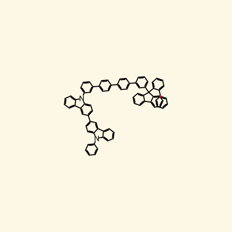 c1ccc(-c2ccccc2C2(c3cccc(-c4ccc(-c5ccc(-c6cccc(-n7c8ccccc8c8cc(-c9ccc%10c(c9)c9ccccc9n%10-c9ccccc9)ccc87)c6)cc5)cc4)c3)c3ccccc3-c3ccccc32)cc1